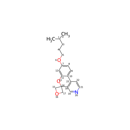 CC(C)CCCOc1ccc2c(c1)OC1(COC1)c1cnccc1-2